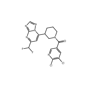 O=C(c1cnc(Cl)c(Cl)c1)N1CCCC(c2cc(C(F)F)nc3ncnn23)C1